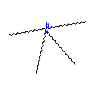 CCCCCCCCCCCCCCCCCCNC(CCCCCCCCCCCCCCCCC)N(CCCCCCCCCCCCCCCCCC)CCCCCCCCCCCCCCCCCC